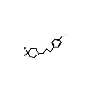 Oc1ccc(CCCN2CCC(F)(F)CC2)cc1